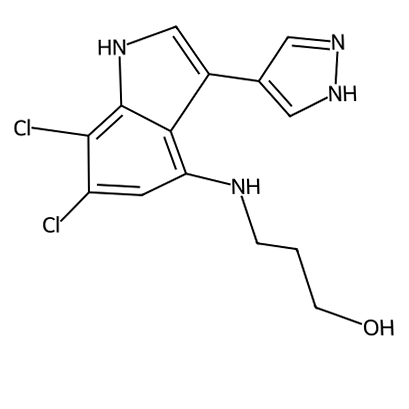 OCCCNc1cc(Cl)c(Cl)c2[nH]cc(-c3cn[nH]c3)c12